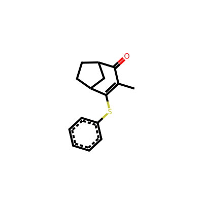 CC1=C(Sc2ccccc2)C2CCC(C2)C1=O